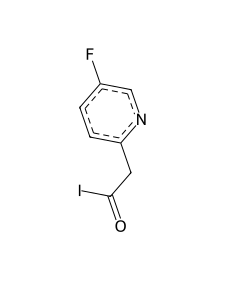 O=C(I)Cc1ccc(F)cn1